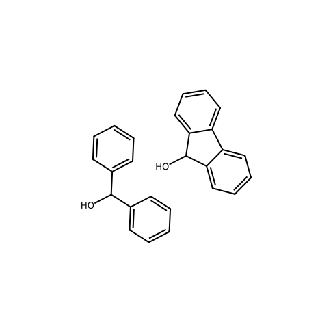 OC(c1ccccc1)c1ccccc1.OC1c2ccccc2-c2ccccc21